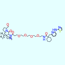 CC(C)(C)C(NC(=O)CCOCCOCCOCCOCCNC(=O)C1(Cc2cccc(Nc3nccs3)n2)CCCCC1)C(=O)N1CCCC1C=O